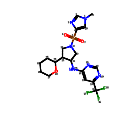 Cn1cnc(S(=O)(=O)N2CC(Nc3cc(C(F)(F)F)ncn3)C(C3CCCCO3)C2)c1